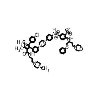 Cc1c(C(=O)NCCCN2CCN(C)CC2)c(-c2cccc(N3CCN(c4ccc(NS(=O)(=O)c5ccc(NC(CCN6CCOCC6)CSc6ccccc6)c([N+](=O)[O-])c5)cc4)CC3)c2)c(-c2ccc(Cl)cc2)n1C